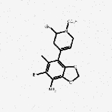 Cc1c(Br)c(N)c2c(c1C1=CCN(C(=O)O)C(C(C)(C)C)C1)OCO2